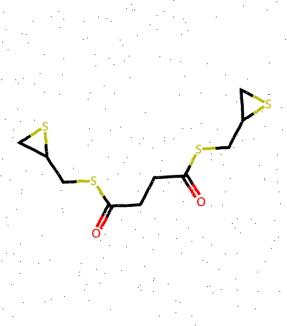 O=C(CCC(=O)SCC1CS1)SCC1CS1